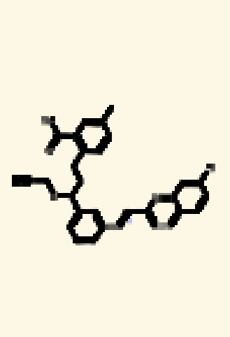 C#CCOC(CCc1ccc(C)cc1C(=O)O)c1cccc(/C=C/c2ccc3ccc(Cl)cc3n2)c1